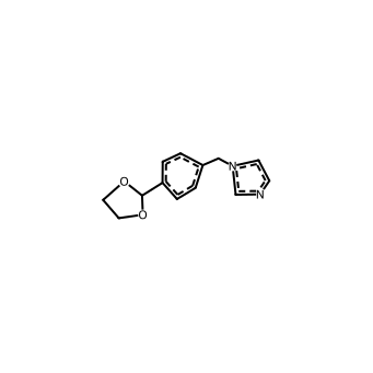 c1cn(Cc2ccc(C3OCCO3)cc2)cn1